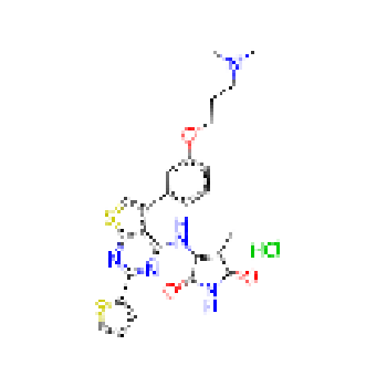 CC1=C(Nc2nc(-c3cccs3)nc3scc(-c4cccc(OCCCN(C)C)c4)c23)C(=O)NC1=O.Cl